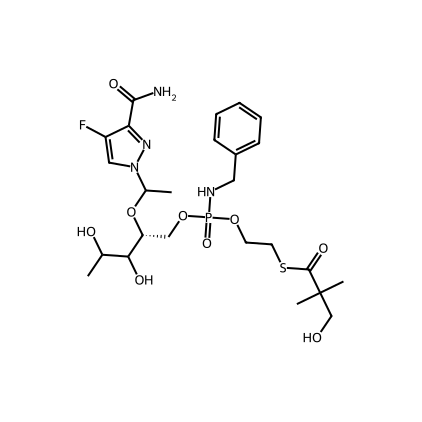 CC(O)C(O)[C@@H](COP(=O)(NCc1ccccc1)OCCSC(=O)C(C)(C)CO)OC(C)n1cc(F)c(C(N)=O)n1